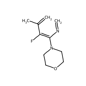 C=N/C(=C(/F)C(=C)C)N1CCOCC1